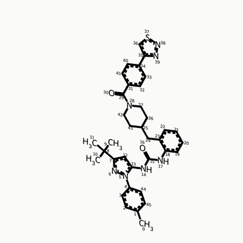 Cc1ccc(-n2nc(C(C)(C)C)cc2NC(=O)Nc2ccccc2CC2CCN(C(=O)c3ccc(-c4csnn4)cc3)CC2)cc1